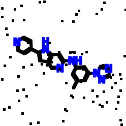 Cc1cc(Nc2cc3[nH]c(-c4ccncc4)cc3cn2)cc(-n2cncn2)c1